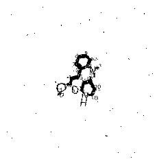 COC(=O)C=Cc1ccccc1N(C)C1CCNCC1